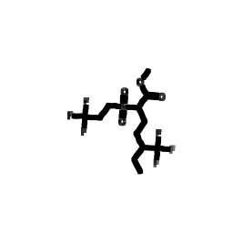 CCC(CCC(C(=O)OC)S(=O)(=O)CCC(F)(F)F)C(F)(F)F